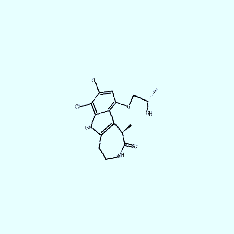 C[C@H](O)COc1cc(Cl)c(Cl)c2[nH]c3c(c12)[C@@H](C)C(=O)NCC3